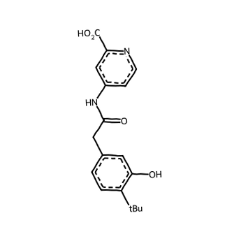 CC(C)(C)c1ccc(CC(=O)Nc2ccnc(C(=O)O)c2)cc1O